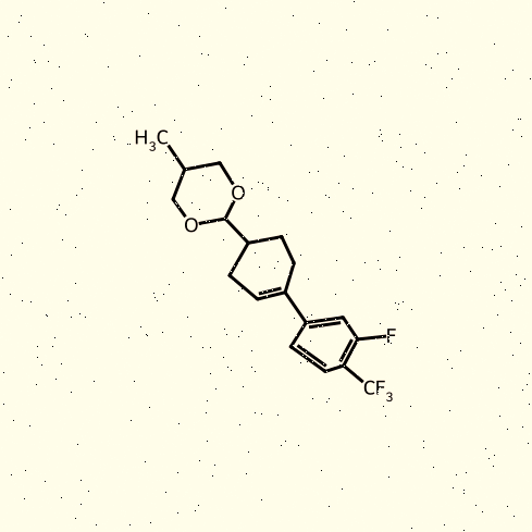 CC1COC(C2CC=C(c3ccc(C(F)(F)F)c(F)c3)CC2)OC1